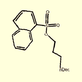 CCCCCCCCCCCCCOS(=O)(=O)c1cccc2ccccc12